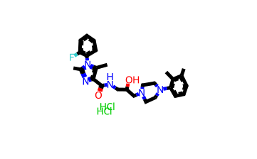 Cc1cccc(N2CCN(CC(O)CNC(=O)c3nc(C)n(-c4ccccc4F)c3C)CC2)c1C.Cl.Cl